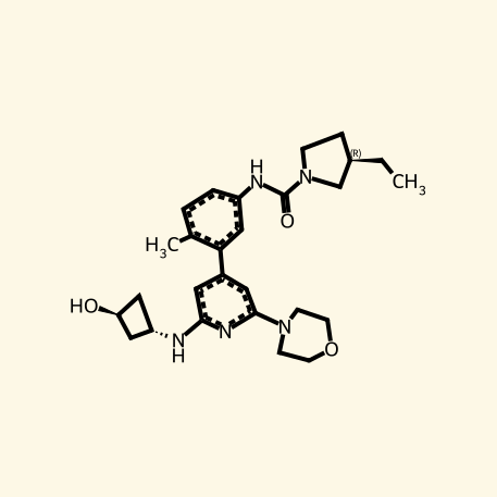 CC[C@@H]1CCN(C(=O)Nc2ccc(C)c(-c3cc(N[C@H]4C[C@H](O)C4)nc(N4CCOCC4)c3)c2)C1